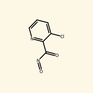 O=NC(=O)c1ncccc1Cl